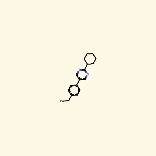 CCC(C)Cc1ccc(-c2cnc(C3CCCCC3)nc2)cc1